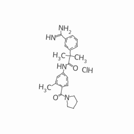 Cc1cc(NC(=O)C(C)(C)c2cccc(C(=N)N)c2)ccc1C(=O)N1CCCC1.Cl